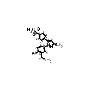 CS(=O)(=O)c1ccc(-c2cc(C(F)(F)F)nn2-c2ccc(Br)c(CN)c2)cc1